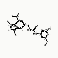 COc1cc(NC(=O)NCc2cc(C(C)C)c3c(n2)c(C)nn3C)cc(Cl)n1